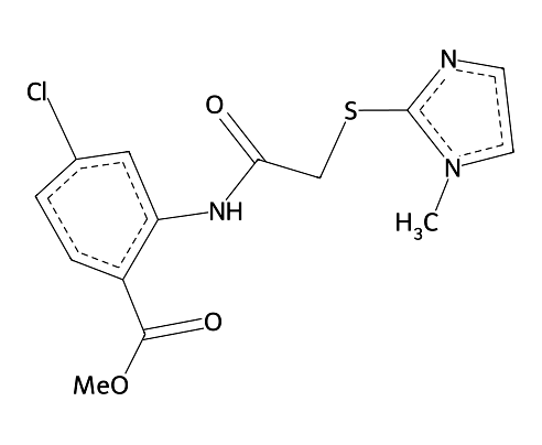 COC(=O)c1ccc(Cl)cc1NC(=O)CSc1nccn1C